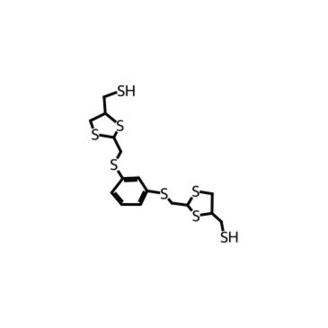 SCC1CSC(CSc2cccc(SCC3SCC(CS)S3)c2)S1